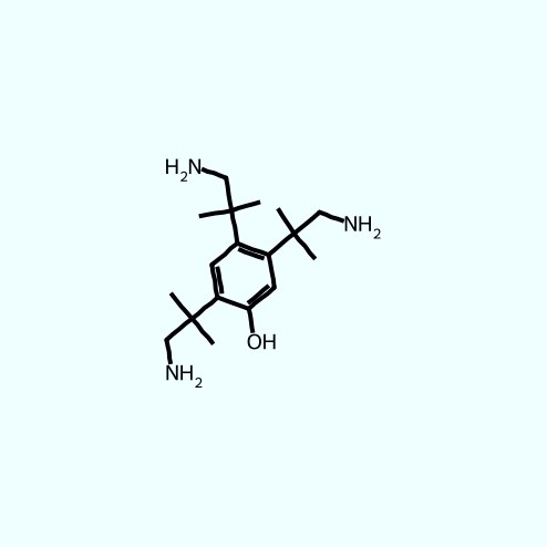 CC(C)(CN)c1cc(C(C)(C)CN)c(C(C)(C)CN)cc1O